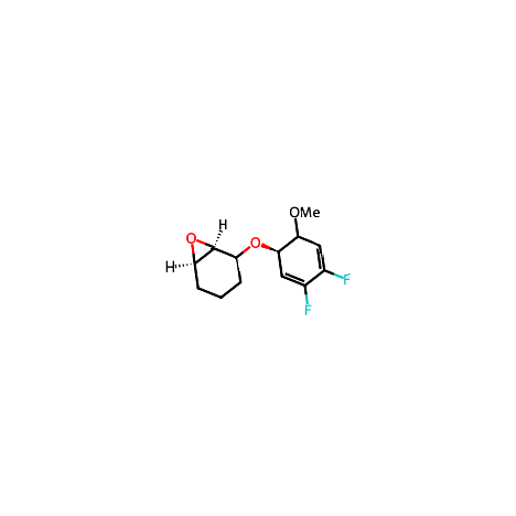 COC1C=C(F)C(F)=C[C@H]1OC1CCC[C@H]2O[C@@H]12